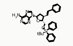 CC(C)(C)[Si](OC[C@@H]1O[C@@H](n2cnc3c(N)ncnc32)C[C@H]1C=Cc1ccccc1)(c1ccccc1)c1ccccc1